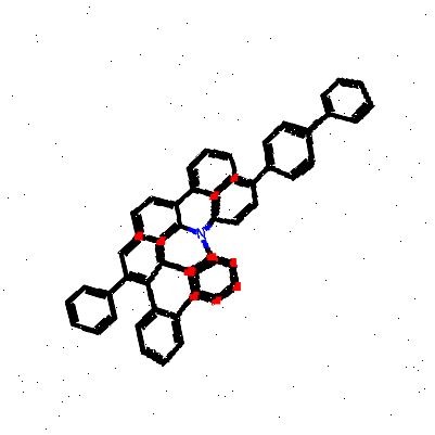 c1ccc(-c2ccc(-c3ccc(N(c4ccccc4-c4ccccc4)c4ccccc4-c4cccc(-c5ccccc5)c4-c4ccccc4-c4ccccc4)cc3)cc2)cc1